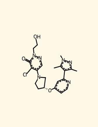 Cc1nn(C)c(C)c1-c1cc(O[C@@H]2CCN(c3cnn(CCO)c(=O)c3Cl)C2)ccn1